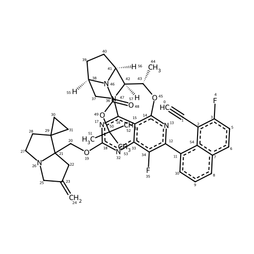 C#Cc1c(F)ccc2cccc(-c3nc4c5c(nc(OCC67CC(=C)CN6CCC76CC6)nc5c3F)N3C[C@H]5CC[C@@H]([C@H]3[C@H](C)O4)N5C(=O)OC(C)(C)C)c12